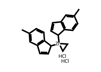 Cc1ccc2c(c1)C=C[CH]2[Zr]1([CH]2C=Cc3cc(C)ccc32)[CH2][CH2]1.Cl.Cl